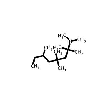 CCC(C)CC(C)(C)CC(C)(C)N(C)C